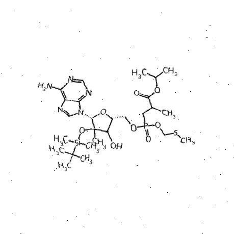 CSCOP(=O)(CC(C)C(=O)OC(C)C)OC[C@H]1O[C@@H](n2cnc3c(N)ncnc32)C(C)(O[Si](C)(C)C(C)(C)C)C1O